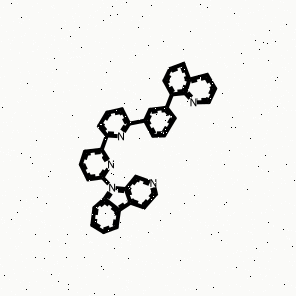 c1cc(-c2cccc(-c3cccc(-n4c5ccccc5c5ccncc54)n3)n2)cc(-c2cccc3cccnc23)c1